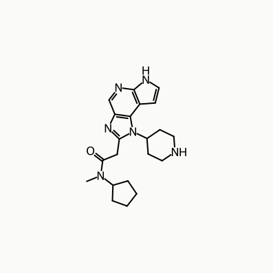 CN(C(=O)Cc1nc2cnc3[nH]ccc3c2n1C1CCNCC1)C1CCCC1